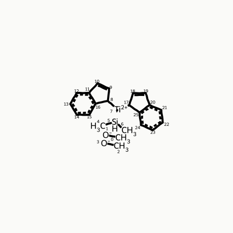 C[O-].C[O-].C[SiH](C)[Ti+2]([CH]1C=Cc2ccccc21)[CH]1C=Cc2ccccc21